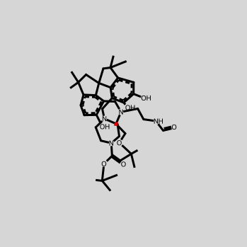 CC(C)(C)OCCN(CCNC=O)Cc1c(O)ccc2c1C1(CC2(C)C)CC(C)(C)c2cc(O)c(O)c(CN3CCN(C(=O)OC(C)(C)C)CC3)c21